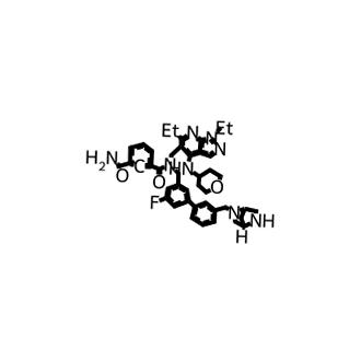 CCc1nc2c(cnn2CC)c(NC2CCOCC2)c1CN(Cc1cc(F)cc(-c2cccc(CN3C[C@@H]4CC3CN4)c2)c1)C(=O)c1cccc(C(N)=O)c1